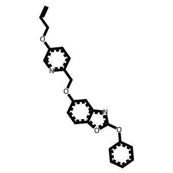 C=CCOc1ccc(COc2ccc3oc(Oc4ccccc4)nc3c2)nc1